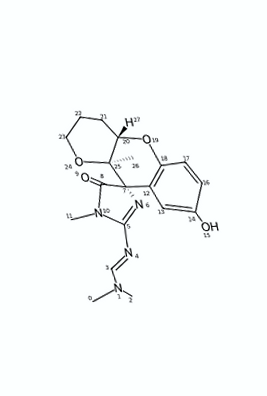 CN(C)C=NC1=N[C@@]2(C(=O)N1C)c1cc(O)ccc1O[C@H]1CCCO[C@@]12C